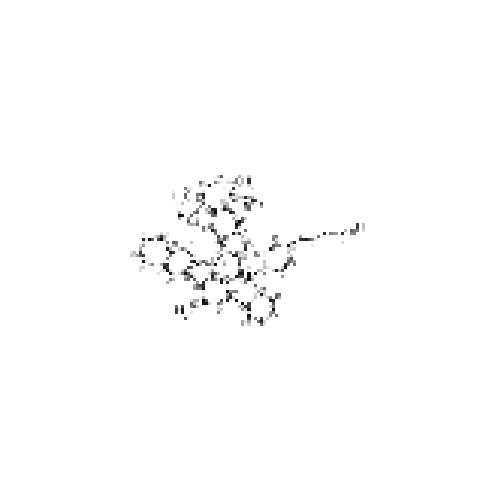 CCCCCc1ccc(N2B3c4oc5cc6c(cc5c4-n4c5cc7ccccc7cc5c5c(C)cc(c3c54)-c3ccccc32)C(C)(C)CCC6(C)C)cc1